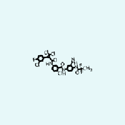 CC(F)(F)C(=O)Nc1ccc(NC(=O)c2cc(NC(=O)C3C(c4ccc(F)c(Cl)c4)C3(Cl)Cl)ccc2Cl)cc1C#N